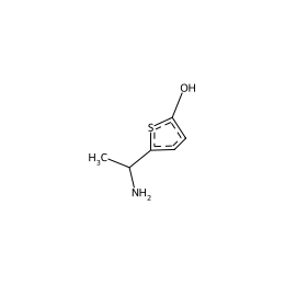 CC(N)c1ccc(O)s1